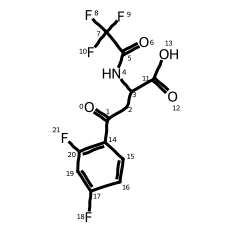 O=C(CC(NC(=O)C(F)(F)F)C(=O)O)c1ccc(F)cc1F